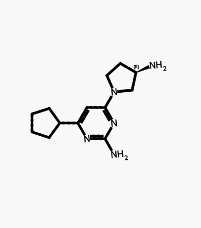 Nc1nc(C2CCCC2)cc(N2CC[C@@H](N)C2)n1